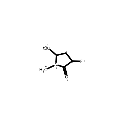 CN1C(=O)C(F)CC1C(C)(C)C